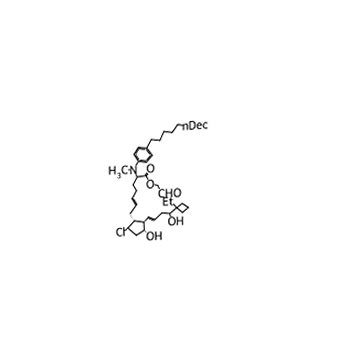 CCCCCCCCCCCCCCCc1ccc(N(C)C(CCC=CC[C@@H]2[C@@H](C=CC[C@H](O)C3(CC)CCC3)[C@H](O)C[C@H]2Cl)C(=O)OCC=O)cc1